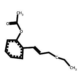 CCCC/C=C/c1ccccc1OC(C)=O